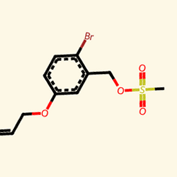 C=CCOc1ccc(Br)c(COS(C)(=O)=O)c1